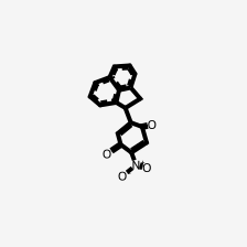 O=C1C=C([N+](=O)[O-])C(=O)C=C1C1Cc2cccc3cccc1c23